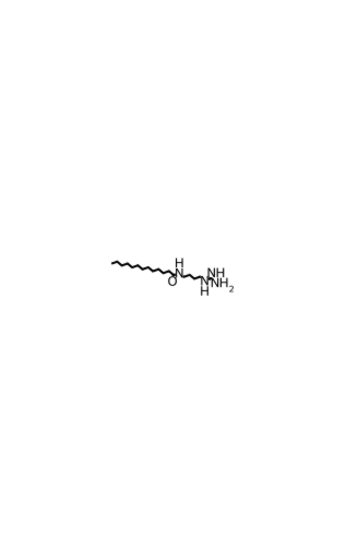 CCCCCCCCCCCCC(=O)NCCCCNC(=N)N